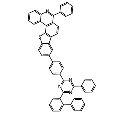 c1ccc(-c2nc(-c3ccc(-c4ccc5sc6c(ccc7c(-c8ccccc8)nc8ccccc8c76)c5c4)cc3)nc(-c3ccccc3-c3ccccc3)n2)cc1